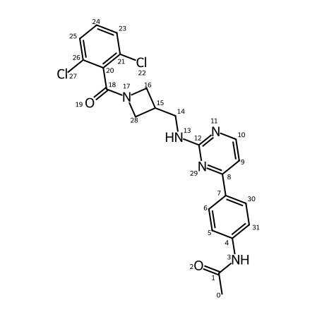 CC(=O)Nc1ccc(-c2ccnc(NCC3CN(C(=O)c4c(Cl)cccc4Cl)C3)n2)cc1